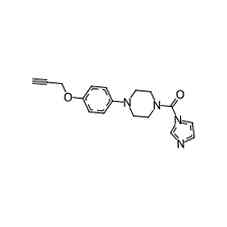 C#CCOc1ccc(N2CCN(C(=O)n3ccnc3)CC2)cc1